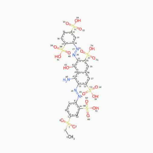 CCS(=O)(=O)c1ccc(N=Nc2c(S(=O)(=O)O)cc3cc(S(=O)(=O)O)c(N=Nc4cc(S(=O)(=O)O)ccc4S(=O)(=O)O)c(O)c3c2N)c(S(=O)(=O)O)c1